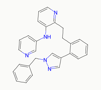 c1ccc(Cn2cc(-c3ccccc3CCc3ncccc3Nc3cccnc3)cn2)cc1